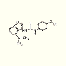 CCOc1ccc(NC(=S)Nc2noc3cccc(N(C)C)c23)cc1